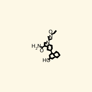 C=CC(=O)N1CC(n2cc(C(N)=O)c3cc(-c4cc(O)cc5ccccc45)ccc32)C1